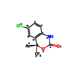 CC(=O)[C@]1(C(F)(F)F)OC(=O)Nc2ccc(Cl)cc21